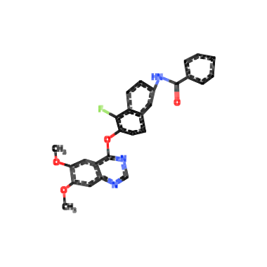 COc1cc2ncnc(Oc3ccc4cc(NC(=O)c5ccccc5)ccc4c3F)c2cc1OC